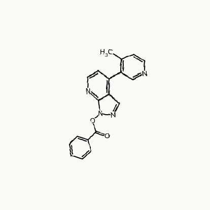 Cc1ccncc1-c1ccnc2c1cnn2OC(=O)c1ccccc1